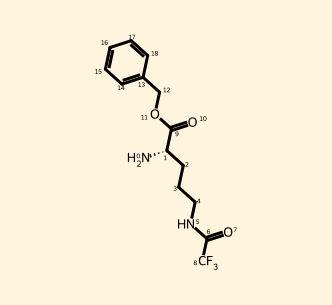 N[C@@H](CCCNC(=O)C(F)(F)F)C(=O)OCc1ccccc1